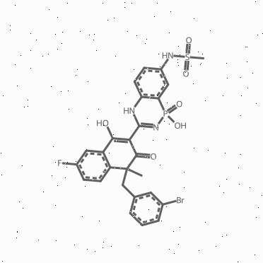 CC1(Cc2cccc(Br)c2)C(=O)C(C2=NP(=O)(O)c3cc(NS(C)(=O)=O)ccc3N2)=C(O)c2cc(F)ccc21